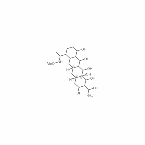 CONC(C)C1CCC(O)C2C(O)C3C(O)[C@]4(O)C(O)C(C(N)O)C(O)C[C@@H]4C[C@@H]3CC12